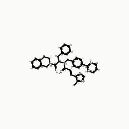 Cc1ncsc1C=CC(=O)N(Cc1ccc(-c2ncccn2)cc1)C(Cc1ccccc1)C(=O)N1CCc2ccccc2C1